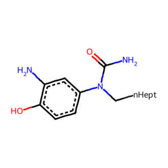 CCCCCCCCN(C(N)=O)c1ccc(O)c(N)c1